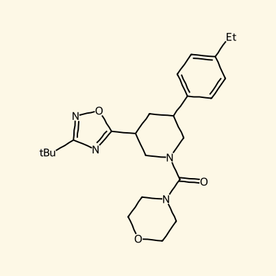 CCc1ccc(C2CC(c3nc(C(C)(C)C)no3)CN(C(=O)N3CCOCC3)C2)cc1